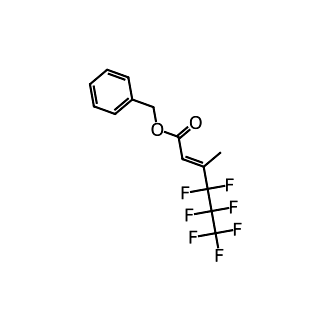 C/C(=C\C(=O)OCc1ccccc1)C(F)(F)C(F)(F)C(F)(F)F